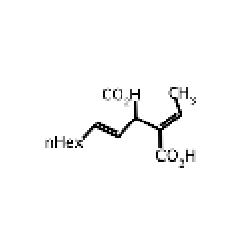 CC=C(C(=O)O)C(C=CCCCCCC)C(=O)O